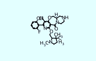 CN1CCC(C)(C)C1COc1nc(-c2c(O)cccc2F)c(Cl)c2c1C(=O)N1CCNC[C@@H]1CO2